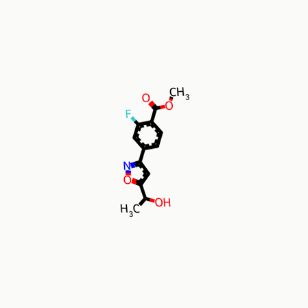 COC(=O)c1ccc(-c2cc(C(C)O)on2)cc1F